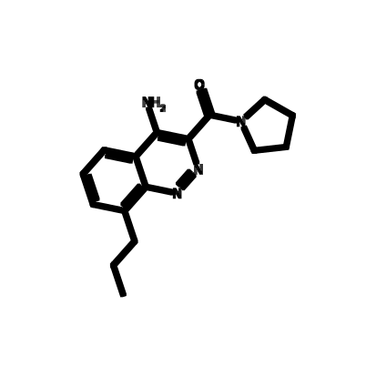 CCCc1cccc2c(N)c(C(=O)N3CCCC3)nnc12